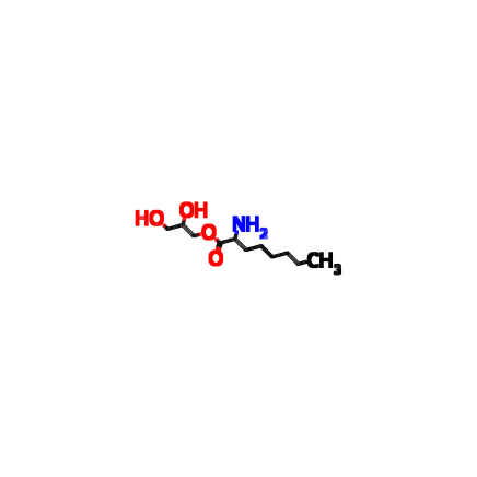 CCCCCCC(N)C(=O)OCC(O)CO